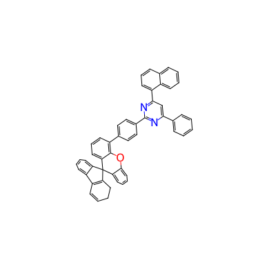 C1=CC2=C(CC1)C1(c3ccccc3Oc3c(-c4ccc(-c5nc(-c6ccccc6)cc(-c6cccc7ccccc67)n5)cc4)cccc31)c1ccccc12